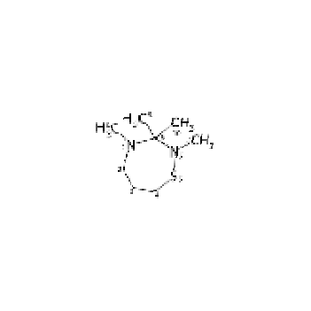 CN1CCCSN(C)C1(C)C